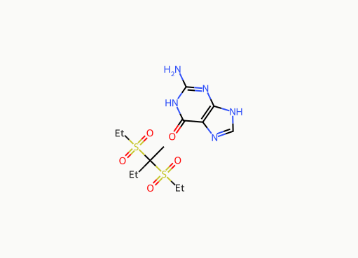 CCC(C)(S(=O)(=O)CC)S(=O)(=O)CC.Nc1nc2[nH]cnc2c(=O)[nH]1